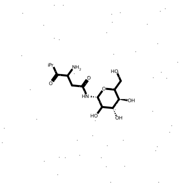 CC(C)C(=O)C(N)CC(=O)N[C@@H]1OC(CO)[C@@H](O)[C@H](O)C1O